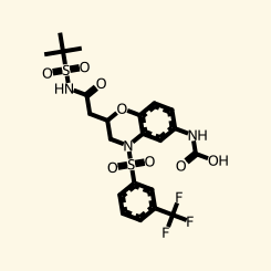 CC(C)(C)S(=O)(=O)NC(=O)CC1CN(S(=O)(=O)c2cccc(C(F)(F)F)c2)c2cc(NC(=O)O)ccc2O1